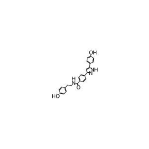 O=C(NCCc1ccc(O)cc1)c1ccc(-c2cc(-c3ccc(O)cc3)[nH]n2)cc1